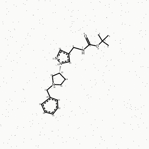 CC(C)(C)OC(=O)NCc1cnn([C@@H]2CCN(Cc3ccccc3)C2)c1